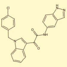 O=C(Nc1ccc2[nH]ncc2c1)C(=O)c1cn(Cc2ccc(Cl)cc2)c2ccccc12